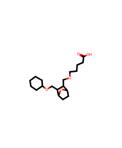 O=C(O)CCCCOCC1C2CCC(O2)C1COC1CCCCC1